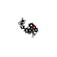 COc1ncc(C2CCN(C(=O)OC(C)(C)C)C2)cc1C(c1ccccc1)C(O)(CCN(C)C)c1cccc2ccccc12